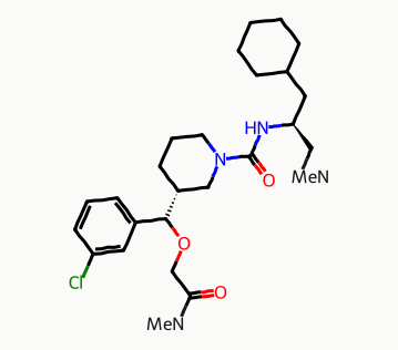 CNC[C@H](CC1CCCCC1)NC(=O)N1CCC[C@@H](C(OCC(=O)NC)c2cccc(Cl)c2)C1